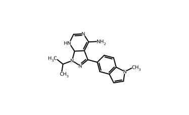 CC(C)N1N=C(c2ccc3c(ccn3C)c2)C2=C(N)N=CNC21